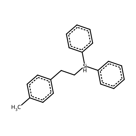 Cc1ccc(CC[SiH](c2ccccc2)c2ccccc2)cc1